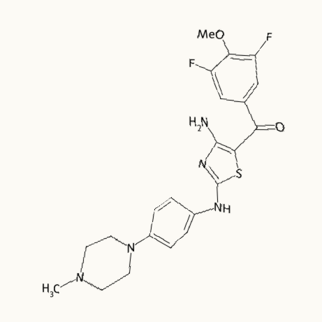 COc1c(F)cc(C(=O)c2sc(Nc3ccc(N4CCN(C)CC4)cc3)nc2N)cc1F